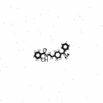 CN(C)C(c1ccccc1)C1CCC(CCNC(=O)c2ccccc2Cl)CC1